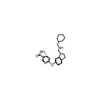 NC(=O)c1ccc(Oc2ccc3c(c2)C(CNCC2CCCCC2)CC3)nc1